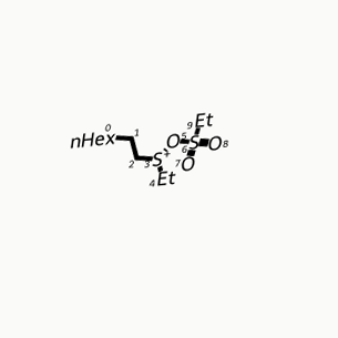 CCCCCCCC[S+](CC)OS(=O)(=O)CC